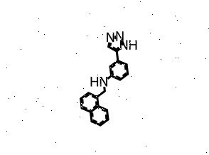 c1cc(NCc2cccc3ccccc23)cc(-c2cnn[nH]2)c1